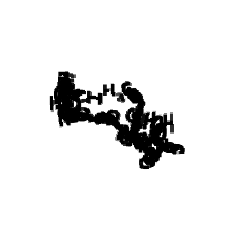 C#C[C@H]1CC(F)(F)CN1C(=O)CNC(=O)c1ccnc2ccc(OCCCC3CCN(C(=O)CCCCCNC(=O)[C@H](CSCCNC(=O)CCCc4ccc(C)cc4)NC(=O)CN4CCN(COC=O)CCN(COC=O)CCN(CC(=O)O)CC4)CC3)cc12